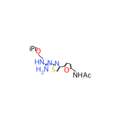 CC(=O)NCc1ccc(-c2csc(/N=C(\N)NCCOC(C)C)n2)o1